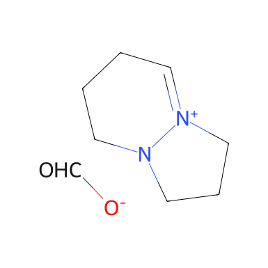 C1=[N+]2CCCN2CCC1.O=C[O-]